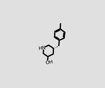 Cc1ccc(C[C@H]2CNCC(O)C2)cc1